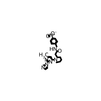 Cc1cc(N2CCCCC2CC(=O)NCc2ccc([N+](=O)[O-])cc2)nc(-n2ccnc2)n1